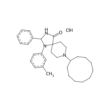 Cc1cccc(N2C(c3ccccc3)NC(=O)C23CCN(C2CCCCCCCCC2)CC3)c1.Cl